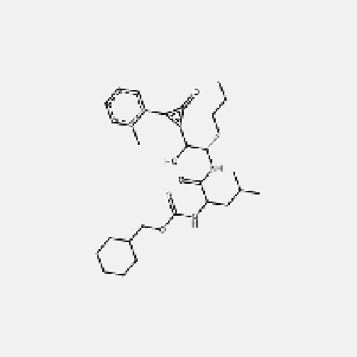 CCCC[C@H](NC(=O)C(CC(C)C)NC(=O)OCC1CCCCC1)C(O)c1c(-c2ccccc2C)c1=O